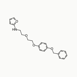 c1ccc(COc2ccc(OCCOCCNc3ccco3)cc2)cc1